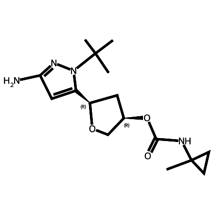 CC1(NC(=O)O[C@H]2CO[C@@H](c3cc(N)nn3C(C)(C)C)C2)CC1